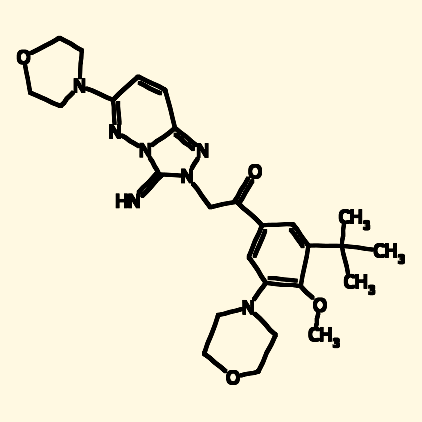 COc1c(N2CCOCC2)cc(C(=O)Cn2nc3ccc(N4CCOCC4)nn3c2=N)cc1C(C)(C)C